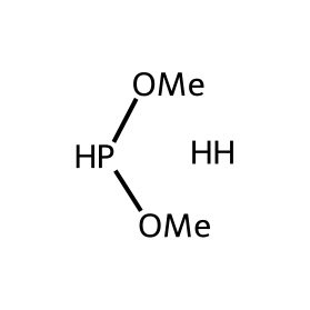 COPOC.[HH]